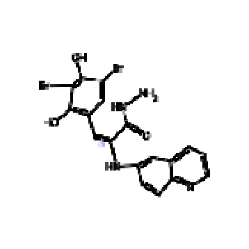 NNC(=O)/C(=C\c1cc(Br)c(O)c(Br)c1O)Nc1ccc2ncccc2c1